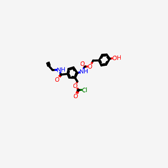 C#CCNC(=O)c1ccc(NC(=O)OCc2ccc(O)cc2)c(COC(=O)Cl)c1